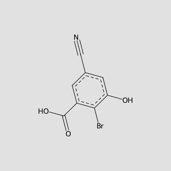 N#Cc1cc(O)c(Br)c(C(=O)O)c1